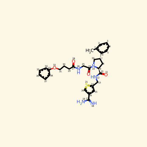 Cc1ccccc1[C@@H]1C[C@@H](C(=O)NCc2cc(C(=N)N)cs2)N(C(=O)CNC(=O)CCCOc2ccccc2)C1